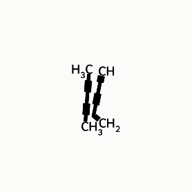 C#CC#CC=C.CC#CC#CC